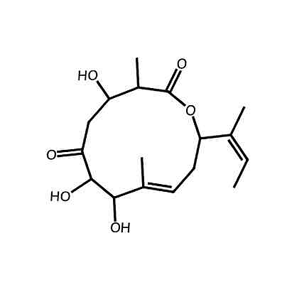 C/C=C(/C)C1C/C=C(\C)C(O)C(O)C(=O)CC(O)C(C)C(=O)O1